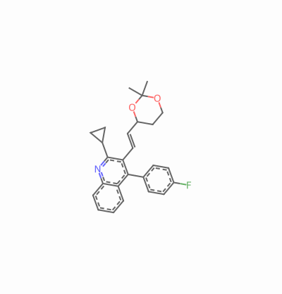 CC1(C)OCCC(C=Cc2c(C3CC3)nc3ccccc3c2-c2ccc(F)cc2)O1